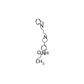 CCCC(=O)Nc1ccc(C2CCN(CCCCn3ccc4ccccc43)CC2)cc1